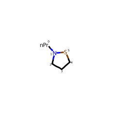 [CH2]CCN1CCCS1